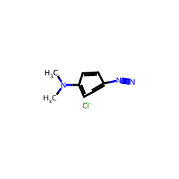 CN(C)c1ccc([N+]#N)cc1.[Cl-]